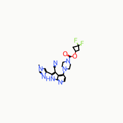 Cn1cnc(-c2[nH]c3nccc(N4CCN(C(=O)OC5CC(F)(F)C5)CC4)c3c2C#N)c1